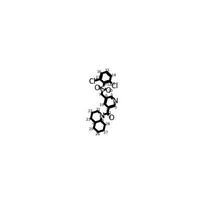 O=C(c1cncc(CS(=O)(=O)c2c(Cl)cccc2Cl)c1)N1CCCC2CCCCC21